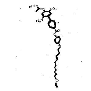 C=COCCCCCCCCCCCOc1ccc(OC(=O)c2ccc(-c3cc([N+](=O)[O-])c(OC(C)CCCCCC)cc3N)cc2)cc1